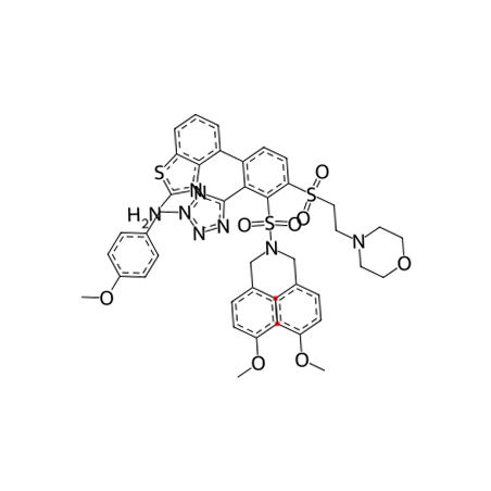 COc1ccc(CN(Cc2ccc(OC)cc2)S(=O)(=O)c2c(S(=O)(=O)CCN3CCOCC3)ccc(-c3cccc4sc(N)nc34)c2-c2nnn(Cc3ccc(OC)cc3)n2)cc1